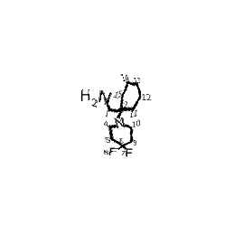 NCC1(N2CCC(F)(F)CC2)CCCCC1